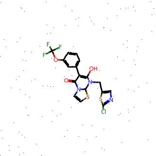 O=C1C(c2cccc(OC(F)(F)F)c2)=C(O)N(Cc2cnc(Cl)s2)C2SC=CN12